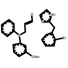 CCc1ccccc1Cc1ncc[nH]1.COc1cccc(B(CC=CCl)c2ccccc2)c1